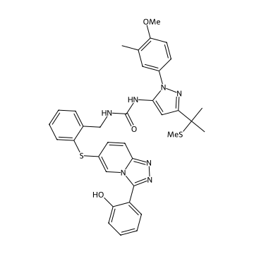 COc1ccc(-n2nc(C(C)(C)SC)cc2NC(=O)NCc2ccccc2Sc2ccc3nnc(-c4ccccc4O)n3c2)cc1C